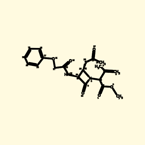 C=C(C)C(C(=O)OC)N1C(=O)[C@@H](NC(=O)COc2ccccc2)[C@H]1SC(C)=O